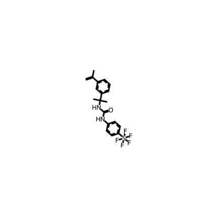 C=C(C)c1cccc(C(C)(C)NC(=O)Nc2ccc(S(F)(F)(F)(F)F)cc2)c1